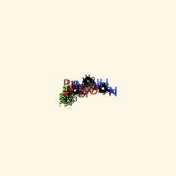 N#Cc1ccc(C(=O)Nc2cccc(C(=O)Nc3c(Br)cc(C(F)(C(F)(F)F)C(F)(F)C(F)(F)F)cc3Br)c2F)cc1